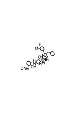 COc1cccc(CNc2cnc(S(=O)(=O)Nc3nc(-c4ccc(F)c(Cl)c4)c(Cc4ccccc4)s3)c(C)c2)c1O